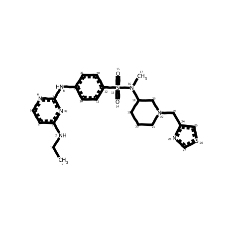 CCNc1ccnc(Nc2ccc(S(=O)(=O)N(C)C3CCCN(Cc4cscn4)C3)cc2)n1